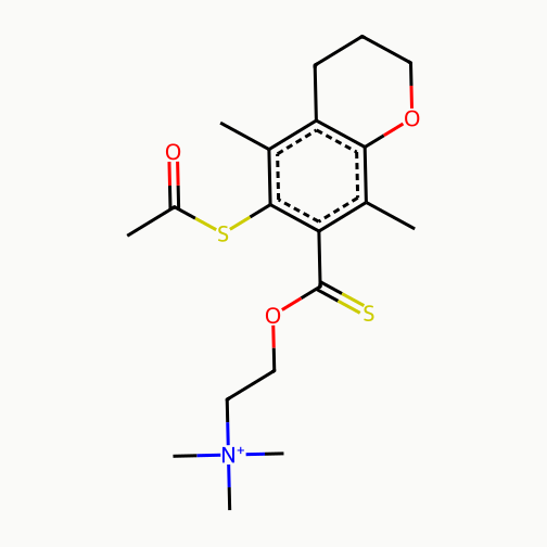 CC(=O)Sc1c(C)c2c(c(C)c1C(=S)OCC[N+](C)(C)C)OCCC2